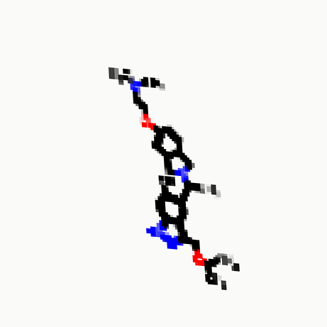 C=C(c1cc2c(COC(C)C)n[nH]c2cc1C)N1CC2C=CC(OCCN(C)C)=CC2C1